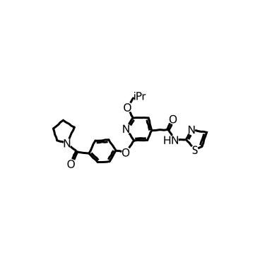 CC(C)Oc1cc(C(=O)Nc2nccs2)cc(Oc2ccc(C(=O)N3CCCC3)cc2)n1